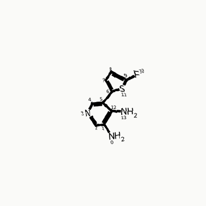 Nc1cncc(-c2ccc(F)s2)c1N